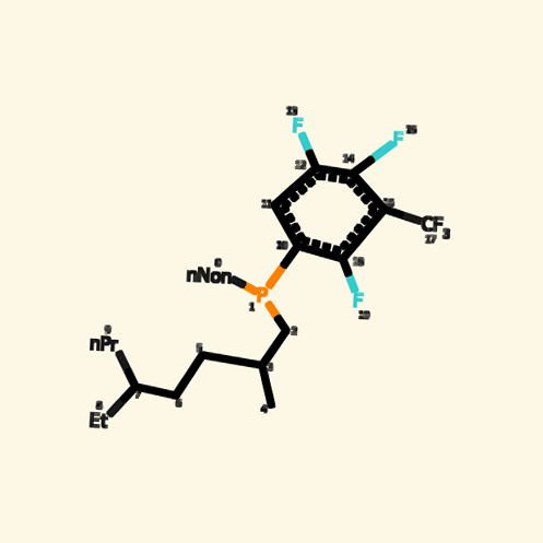 CCCCCCCCCP(CC(C)CCC(CC)CCC)c1cc(F)c(F)c(C(F)(F)F)c1F